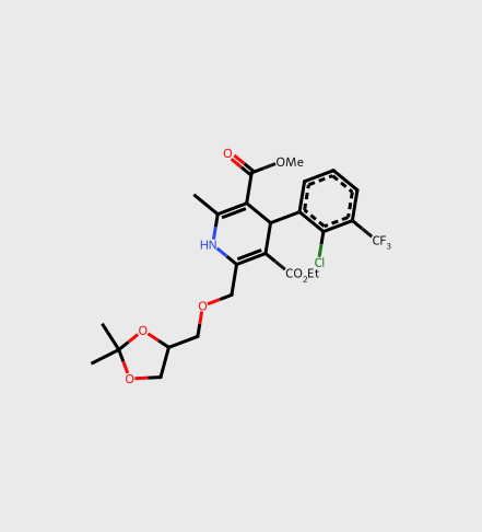 CCOC(=O)C1=C(COCC2COC(C)(C)O2)NC(C)=C(C(=O)OC)C1c1cccc(C(F)(F)F)c1Cl